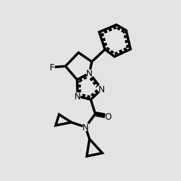 O=C(c1nc2n(n1)C(c1ccccc1)CC2F)N(C1CC1)C1CC1